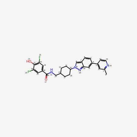 Cc1cc(-c2ccc3cn(C4CCC(CNC(=O)c5cc(F)c(O)c(F)c5)CC4)nc3c2)ccn1